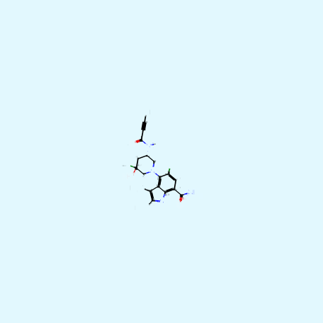 CC#CC(=O)N(C)[C@@H]1CN(c2c(F)cc(C(N)=O)c3[nH]c(C)c(C)c23)CC(O)(F)C1